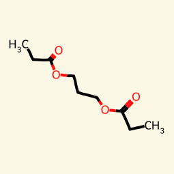 CCC(=O)OCCCOC(=O)CC